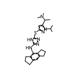 CC(c1cc(Sc2nnc(Nc3c4c(cc5c3CCC5)CCC4)[nH]2)nn1C(C)C)N(C)C